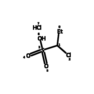 CCC(Cl)S(=O)(=O)O.Cl